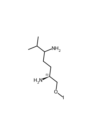 CC(C)C(N)CC[C@H](N)COI